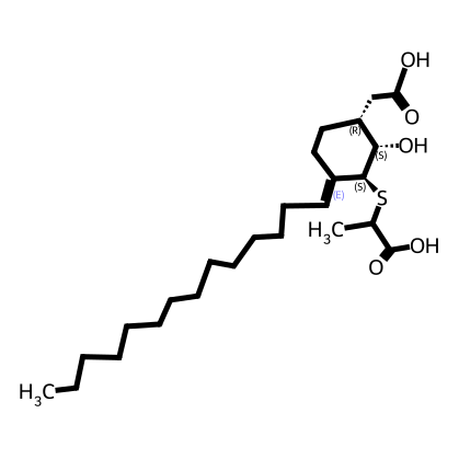 CCCCCCCCCCCCC/C=C1\CC[C@H](CC(=O)O)[C@H](O)[C@H]1SC(C)C(=O)O